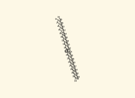 CCCCCCCCCCCCCCCCCCOCCCCCCCCCCCCCCCC.CCCCCCCCCCCCCCCCCCOCCCCCCCCCCCCCCCC